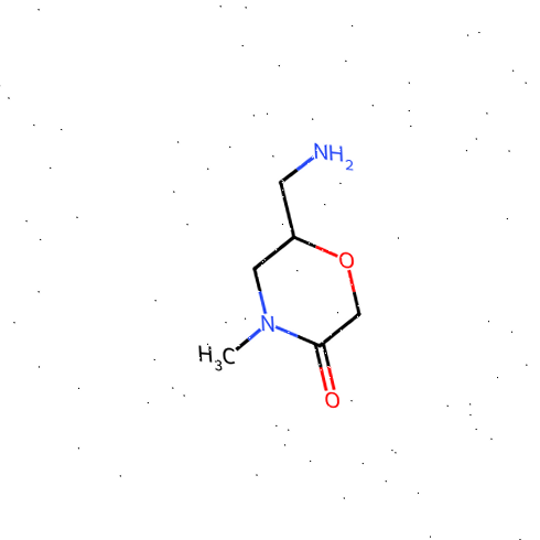 CN1CC(CN)OCC1=O